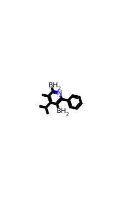 Bc1nc(-c2ccccc2)c(B)c(C(C)C)c1C